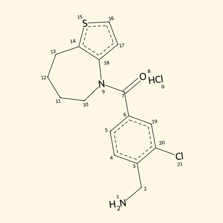 Cl.NCc1ccc(C(=O)N2CCCCc3sccc32)cc1Cl